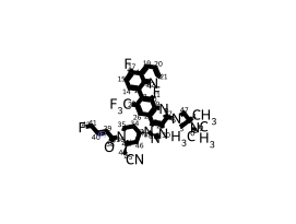 CN(C)C1(C)CN(c2nc3c(F)c(-c4ccc(F)c5cccnc45)c(C(F)(F)F)cc3c3c2nnn3[C@H]2CCN(C(=O)/C=C/CF)[C@H](CC#N)C2)C1